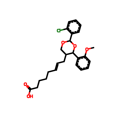 COc1ccccc1C1OC(c2ccccc2Cl)OCC1CC=CCCCCC(=O)O